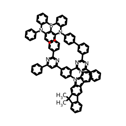 CC1(C)c2ccccc2-c2cc3c4ccccc4n(-c4ccc(-c5cc(-c6ccccc6)nc(-c6ccccc6)n5)cc4-c4nc(-c5ccccc5)nc(-c5cccc(-c6ccc(N7c8ccccc8B8c9ccccc9N(c9ccccc9)c9cccc7c98)cc6)c5)n4)c3cc21